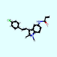 C=CC(=O)Nc1ccc2c(c1)c(/C=C/c1ccc(Cl)cc1)c(C)n2C